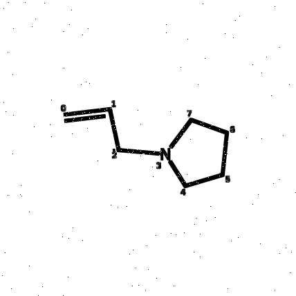 C=C[CH]N1CCCC1